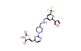 O=C1NC(=O)C(=Cc2ccnc(N3CCC(CNCc4cc(-c5ccoc5)nc(C(F)(F)F)c4)CC3)n2)S1